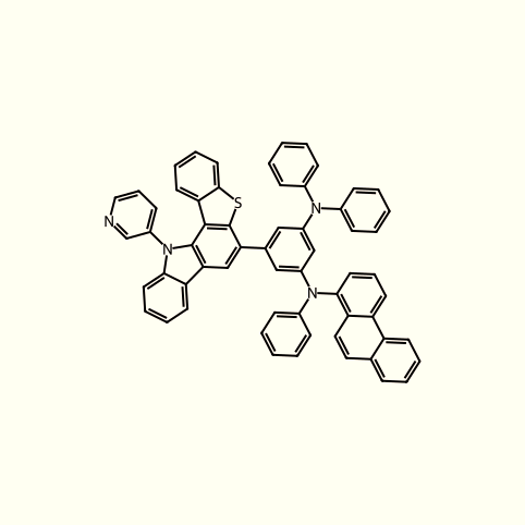 c1ccc(N(c2ccccc2)c2cc(-c3cc4c5ccccc5n(-c5cccnc5)c4c4c3sc3ccccc34)cc(N(c3ccccc3)c3cccc4c3ccc3ccccc34)c2)cc1